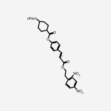 CCCCCC1CCC(C(=O)Oc2ccc(/C=C/C(=O)OCCc3ccc([N+](=O)[O-])cc3[N+](=O)[O-])cc2)CC1